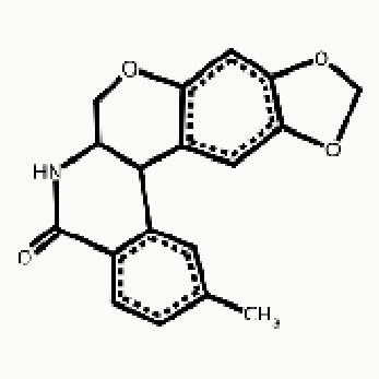 Cc1ccc2c(c1)C1c3cc4c(cc3OCC1NC2=O)OCO4